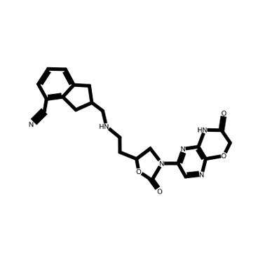 N#Cc1cccc2c1CC(CNCCC1CN(c3cnc4c(n3)NC(=O)CO4)C(=O)O1)C2